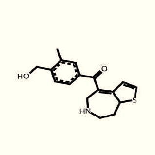 Cc1cc(C(=O)C2=C3C=CSC3CCNC2)ccc1CO